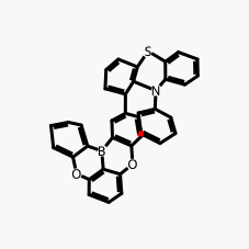 c1ccc(N2c3ccccc3Sc3cccc(-c4ccc5c(c4)B4c6ccccc6Oc6cccc(c64)O5)c32)cc1